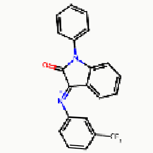 O=C1/C(=N/c2cccc(C(F)(F)F)c2)c2ccccc2N1c1ccccc1